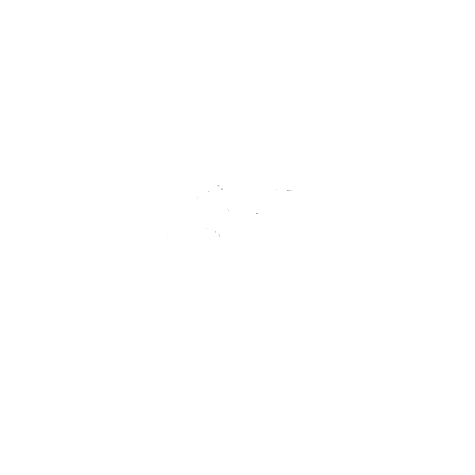 O=C(c1ccccc1)n1c(S)nnc1-c1cccc(F)c1